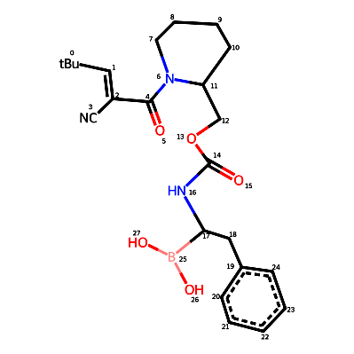 CC(C)(C)C=C(C#N)C(=O)N1CCCCC1COC(=O)NC(Cc1ccccc1)B(O)O